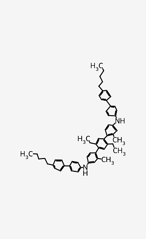 CCCCCc1ccc(-c2ccc(Nc3ccc(-c4cc(CC)c(-c5ccc(Nc6ccc(-c7ccc(CCCCC)cc7)cc6)cc5C)cc4CC)c(C)c3)cc2)cc1